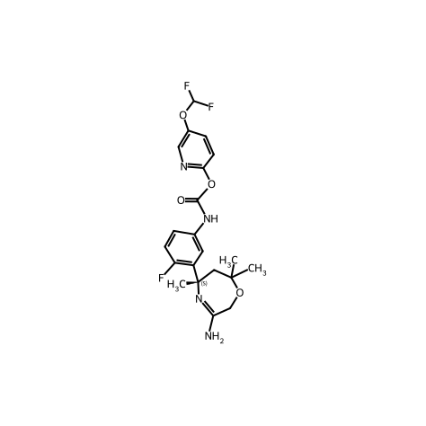 CC1(C)C[C@@](C)(c2cc(NC(=O)Oc3ccc(OC(F)F)cn3)ccc2F)N=C(N)CO1